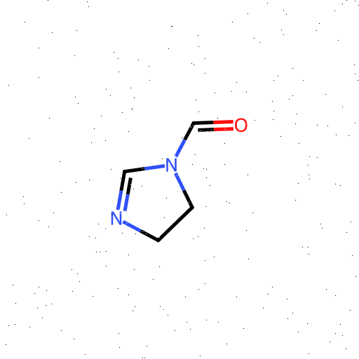 O=CN1C=NCC1